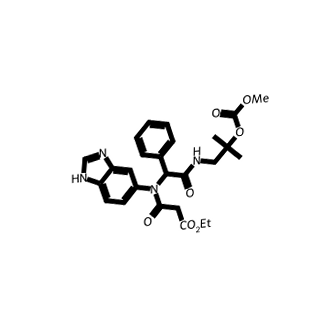 CCOC(=O)CC(=O)N(c1ccc2[nH]cnc2c1)C(C(=O)NCC(C)(C)OC(=O)OC)c1ccccc1